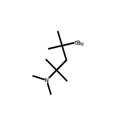 CN(C)C(C)(C)CC(C)(C)C(C)(C)C